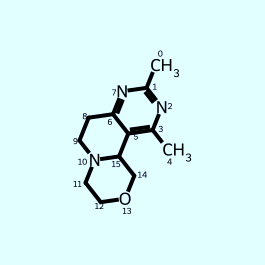 Cc1nc(C)c2c(n1)CCN1CCOCC21